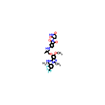 COc1cc2nc(C)nc(N[C@H](C)c3cccc(C(F)(F)F)c3F)c2cc1OCC1(CNc2ccc3c(c2)C(=O)N(C2CCC(=O)NC2=O)C3=O)CC1